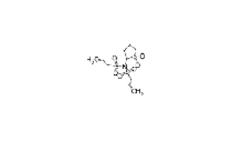 C=CCS(=O)(=O)N(C1CCCS1(=O)=O)S(=O)(=O)CC=C